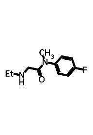 CCNCC(=O)N(C)c1ccc(F)cc1